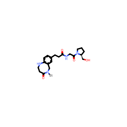 CCN1Cc2cc(CCC(=O)NCC(=O)N3CCC[C@H]3CO)ccc2NCCC1=O